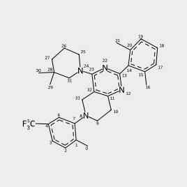 Cc1ccc(C(F)(F)F)cc1N1CCc2nc(-c3c(C)cccc3C)nc(N3CCCC(C)(C)C3)c2C1